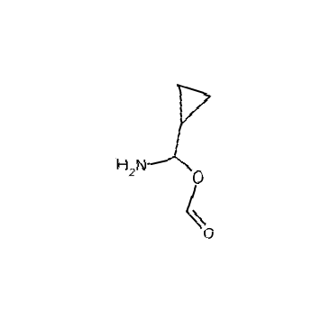 NC(OC=O)C1CC1